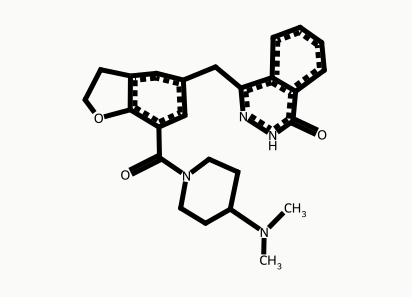 CN(C)C1CCN(C(=O)c2cc(Cc3n[nH]c(=O)c4ccccc34)cc3c2OCC3)CC1